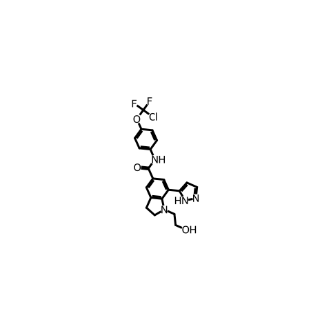 O=C(Nc1ccc(OC(F)(F)Cl)cc1)c1cc2c(c(-c3ccn[nH]3)c1)N(CCO)CC2